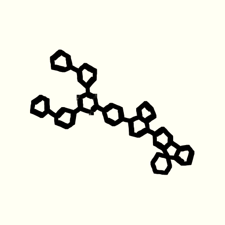 c1ccc(-c2cccc(-c3nc(-c4ccc(-c5ccc(-c6ccc7c(c6)C6(CCCCC6)c6ccccc6-7)c6ccccc56)cc4)nc(-c4cccc(-c5ccccc5)c4)n3)c2)cc1